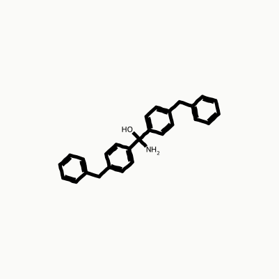 NC(O)(c1ccc(Cc2ccccc2)cc1)c1ccc(Cc2ccccc2)cc1